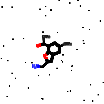 COC(=O)c1cc(OC)cc2cc(CN)oc12